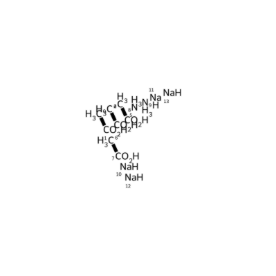 CC(=O)O.CC(=O)O.CC(=O)O.CC(=O)O.N.N.[NaH].[NaH].[NaH].[NaH]